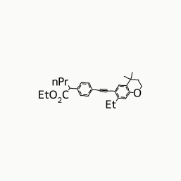 CCCC(C(=O)OCC)c1ccc(C#Cc2cc3c(cc2CC)OCCC3(C)C)cc1